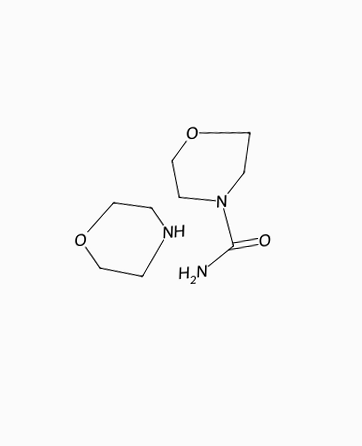 C1COCCN1.NC(=O)N1CCOCC1